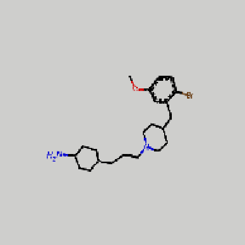 COc1ccc(Br)c(CC2CCN(CCCC3CCC(N)CC3)CC2)c1